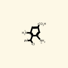 CC(C)C(Cl)c1c(N)cc(C(=O)O)cc1N